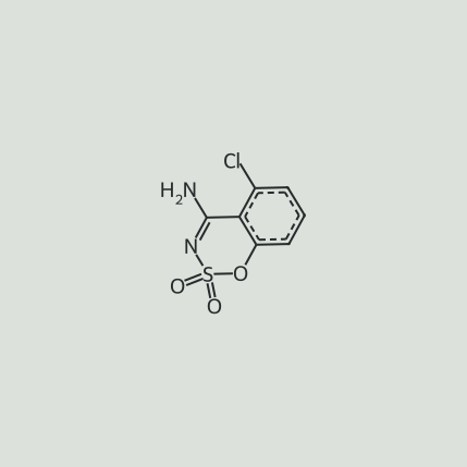 NC1=NS(=O)(=O)Oc2cccc(Cl)c21